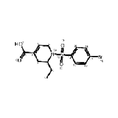 CCC1CC(C(=O)O)=CCN1S(=O)(=O)c1ccc(Br)cc1